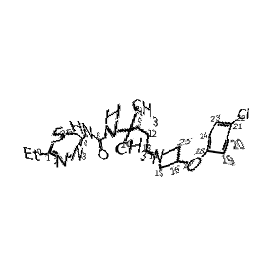 CCc1nnc(NC(=O)NC(C)(C)CCN2CC(Oc3ccc(Cl)cc3)C2)s1